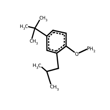 CC(C)Cc1cc(C(C)(C)C)ccc1OP